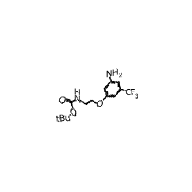 CC(C)(C)OC(=O)NCCOc1cc(N)cc(C(F)(F)F)c1